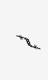 CCCCOC(=O)CCCC(C)(C)c1ccc2cc3cc(C(C)(C)CCCC(=O)OCCCC)ccc3cc2c1